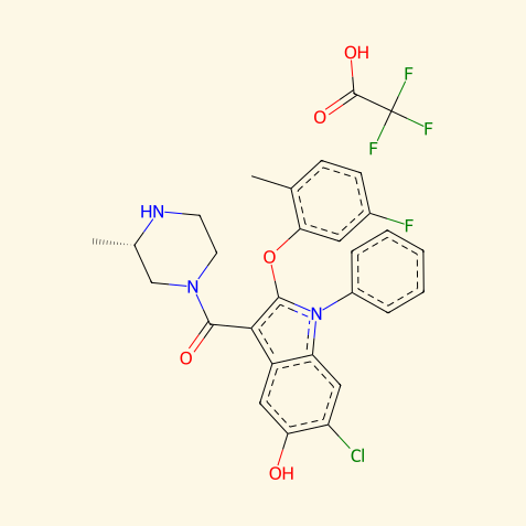 Cc1ccc(F)cc1Oc1c(C(=O)N2CCN[C@@H](C)C2)c2cc(O)c(Cl)cc2n1-c1ccccc1.O=C(O)C(F)(F)F